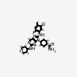 Cc1cc(F)c(Nc2nc3cnc(NC4CCOCC4)nc3n2[C@H]2CC[C@@H](C(N)=O)CC2)cc1Cl